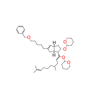 CC(C)=CCCCC(C)CC=C(OC1CCCCO1)[C@H]1[C@@H]2CC(CCCCCOCc3ccccc3)=C[C@@H]2C[C@@H]1OC1CCCCO1